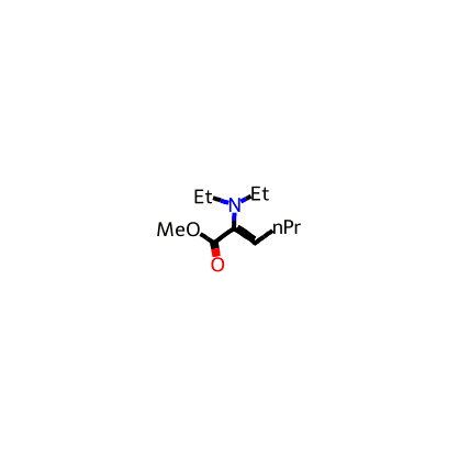 CCCC=C(C(=O)OC)N(CC)CC